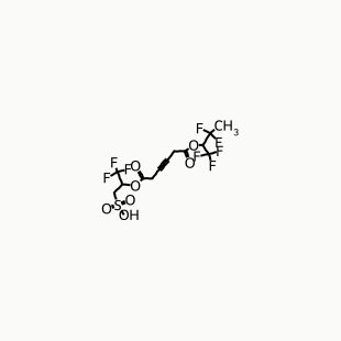 CC(F)(F)C(OC(=O)CC#CCC(=O)OC(CS(=O)(=O)O)C(F)(F)F)C(F)(F)F